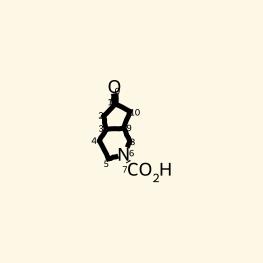 O=C1CC2CCN(C(=O)O)CC2C1